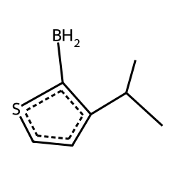 Bc1sccc1C(C)C